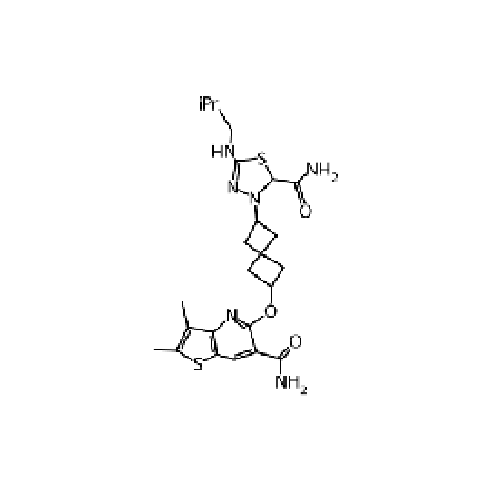 Cc1sc2cc(C(N)=O)c(OC3CC4(C3)CC(N3N=C(NCC(C)C)SC3C(N)=O)C4)nc2c1C